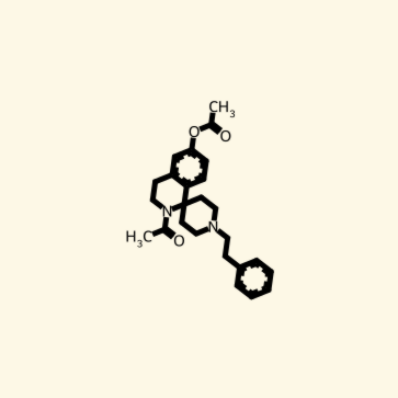 CC(=O)Oc1ccc2c(c1)CCN(C(C)=O)C21CCN(CCc2ccccc2)CC1